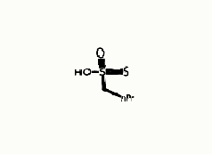 CCCCS(=O)(O)=S